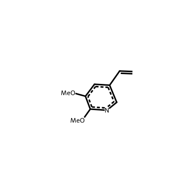 C=Cc1cnc(OC)c(OC)c1